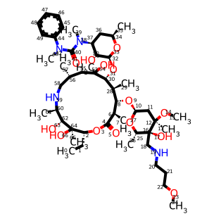 CC[C@H]1OC(=O)[C@H](C)[C@@H](O[C@H]2C[C@@](C)(OC)[C@](O)(CNCCCOC)[C@H](C)O2)[C@H](C)[C@@H](O[C@@H]2O[C@H](C)C[C@H](N(C)C(=O)N(C)c3ccccc3)[C@H]2O)[C@](C)(O)C[C@@H](C)CN[C@H](C)[C@@H](O)[C@]1(C)O